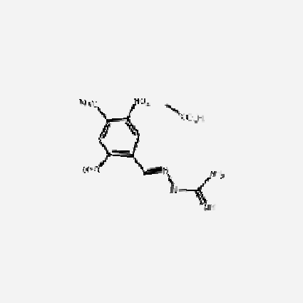 CC(=O)O.COc1cc(OC)c([N+](=O)[O-])cc1C=NNC(=N)N